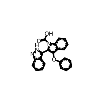 O=C(O)n1c(-c2[nH]nc3ccccc23)c(Oc2ccccc2)c2ccccc21